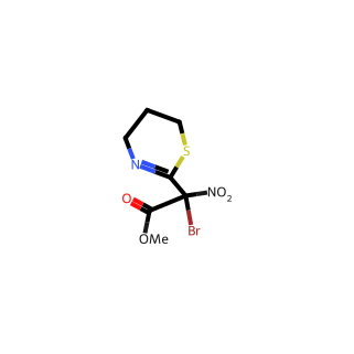 COC(=O)C(Br)(C1=NCCCS1)[N+](=O)[O-]